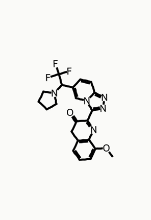 COc1cccc2c1N=C(c1nnc3ccc(C(N4CCCC4)C(F)(F)F)cn13)C(=O)C2